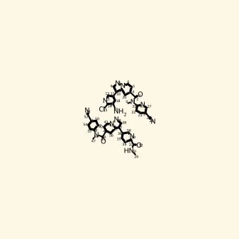 CN(C(=O)c1ccn2ncc(-c3cnc(Cl)c(N)c3)c2c1)c1ccc(C#N)cn1.CNC(=O)c1ccc(-c2cnn3ccc(C(=O)N(C)c4ccc(C#N)cc4)cc23)cn1